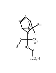 O=C(O)COC(CF)(C1C2C=CC(C2)C1(F)F)C(F)(F)F